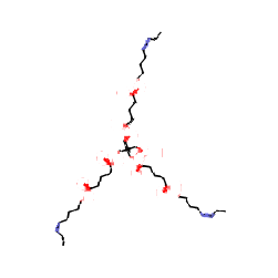 CC/C=C\CCCCOC(=O)CCCC(=O)OCC(CO)(COC(=O)CCCC(=O)OCCCC/C=C\CC)COC(=O)CCCC(=O)OCCCC/C=C\CC